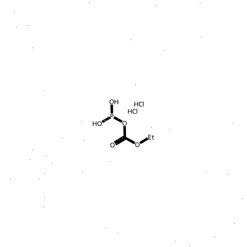 CCOC(=O)OP(O)O.Cl.Cl